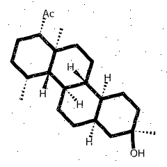 CC(=O)[C@H]1CC[C@@H](C)[C@H]2[C@@H]3CC[C@@H]4C[C@](C)(O)CC[C@@H]4[C@H]3CC[C@@]21C